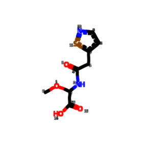 COC(NC(=O)Cc1ccns1)C(=O)O